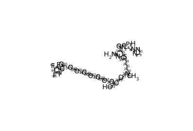 CCCN(CCCNc1ncccn1)C(=O)C1=Cc2sc(CCCCCN(C)CCOCCOC(CO)OCCOCCOCCOCCOCCOCCOCCC(=O)Oc3c(F)c(F)cc(F)c3F)cc2N=C(N)C1